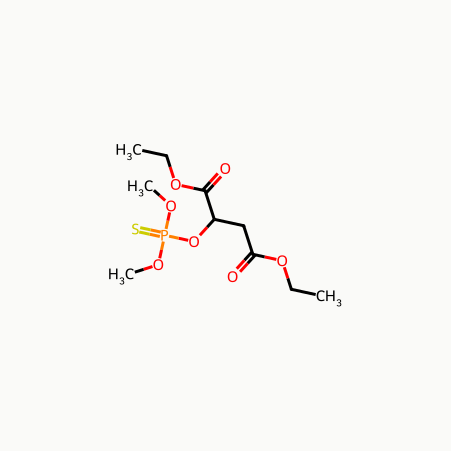 CCOC(=O)CC(OP(=S)(OC)OC)C(=O)OCC